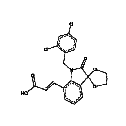 O=C(O)/C=C/c1cccc2c1N(Cc1ccc(Cl)cc1Cl)C(=O)C21OCCO1